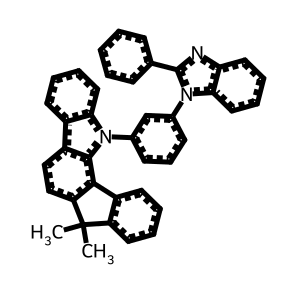 CC1(C)c2ccccc2-c2c1ccc1c3ccccc3n(-c3cccc(-n4c(-c5ccccc5)nc5ccccc54)c3)c21